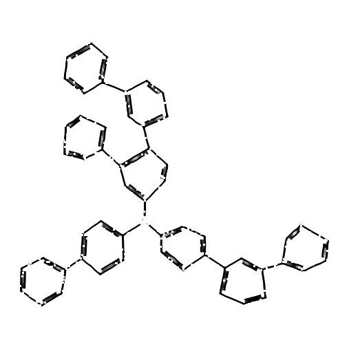 c1ccc(-c2ccc(N(c3ccc(-c4cccc(-c5ccccc5)c4)cc3)c3ccc(-c4cccc(-c5ccccc5)c4)c(-c4ccccc4)c3)cc2)cc1